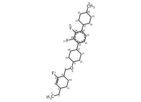 CCC1C=C(F)C(COC2CCC(c3ccc(C4CCC(C)CC4)c(F)c3F)CC2)CC1